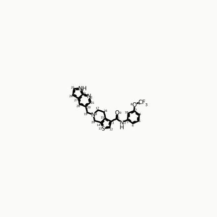 O=C(Nc1cccc(OC(F)(F)F)c1)c1csc2c1CCN(Cc1cnc3[nH]ccc3c1)C2